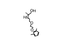 Cc1cccc(C)c1OCCOCCN[C@@H](C)CO